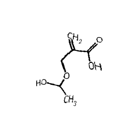 C=C(COC(C)O)C(=O)O